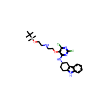 CC(C)(C)[Si](C)(C)OCCNCCOc1c(Cl)nc(Cl)nc1N[C@@H]1CCc2[nH]c3ccccc3c2C1